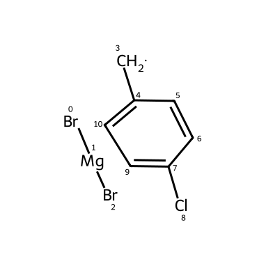 [Br][Mg][Br].[CH2]c1ccc(Cl)cc1